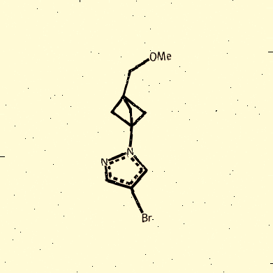 COCC12CC(n3cc(Br)cn3)(C1)C2